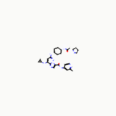 Cc1cc(NC(=O)c2cnc3c(NC4CC4)cc(N[C@H]4CC[C@H](NC(=O)C[C@@H]5CCCN5)CC4)nn23)ccn1